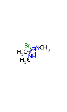 CNN/C(Br)=C(/C)NC